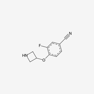 N#Cc1ccc(OC2CNC2)c(F)c1